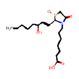 CCCCCC(O)C=C[C@@H]1N(CCCCCCC(=O)O)C(=O)C[S@@+]1[O-]